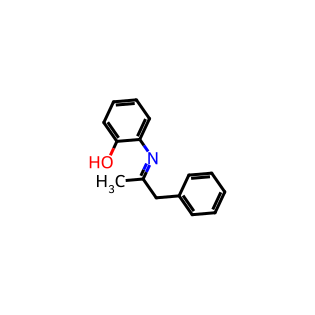 CC(Cc1ccccc1)=Nc1ccccc1O